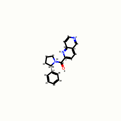 O=C(c1ccc2cnccc2n1)N1CCC[C@H]1c1ccccc1